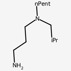 CCCCCN(CCCN)CC(C)C